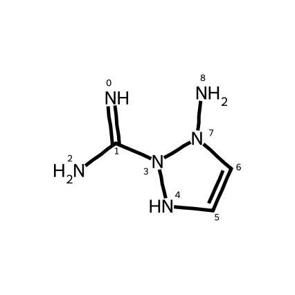 N=C(N)N1NC=CN1N